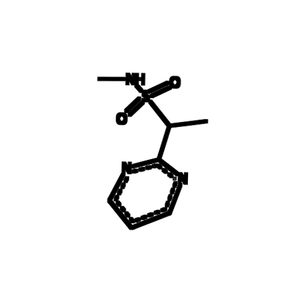 CNS(=O)(=O)C(C)c1ncccn1